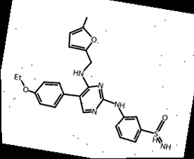 CCOc1ccc(-c2cnc(Nc3cccc([SH](=N)=O)c3)nc2NCc2ccc(C)o2)cc1